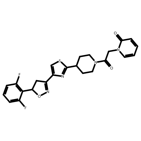 O=C(Cn1ccccc1=O)N1CCC(c2nc(C3=NOC(c4c(F)cccc4F)C3)cs2)CC1